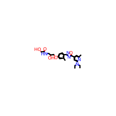 CCN(CC)c1cc(-c2nc(-c3ccc(OCC(O)CNC(=O)CO)cc3C)no2)cc(C)n1